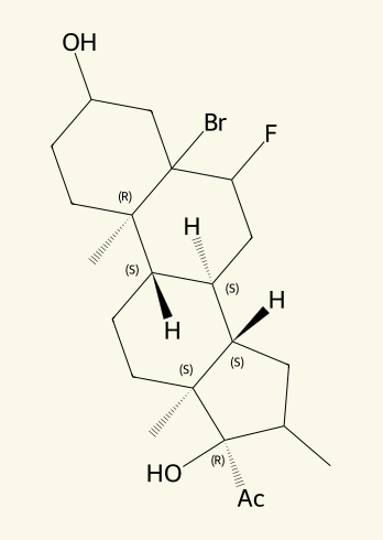 CC(=O)[C@@]1(O)C(C)C[C@H]2[C@@H]3CC(F)C4(Br)CC(O)CC[C@]4(C)[C@H]3CC[C@@]21C